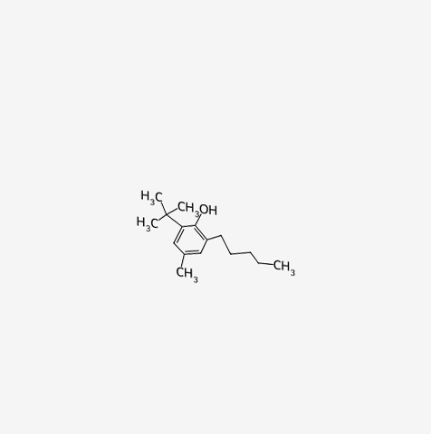 CCCCCc1cc(C)cc(C(C)(C)C)c1O